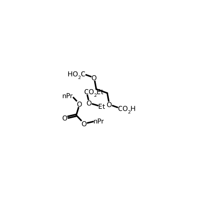 CCCOC(=O)OCCC.CCOC(=O)OCC.O=C(O)OCCOC(=O)O